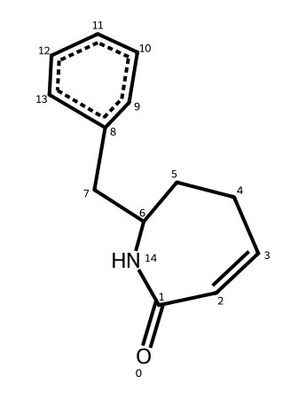 O=C1C=CCCC(Cc2ccccc2)N1